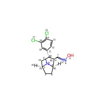 CN1[C@H]2CC[C@@H]1[C@H](C=NO)[C@@H](c1ccc(Cl)c(Cl)c1)C2